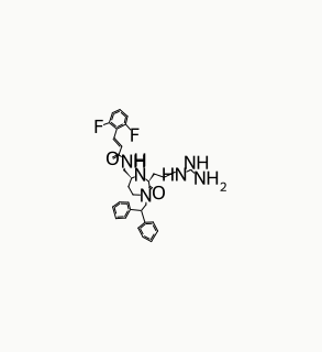 N=C(N)NCCC[C@@H]1N[C@H](CNC(=O)/C=C/c2c(F)cccc2F)CCN(CC(c2ccccc2)c2ccccc2)C1=O